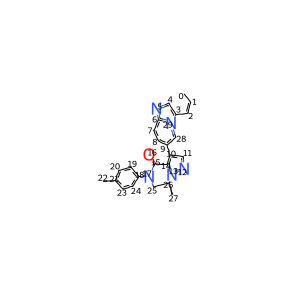 C/C=C\c1cnc2ccc(-c3cnn4c3C(=O)N(c3ccc(C)cc3)C[C@@H]4C)cn12